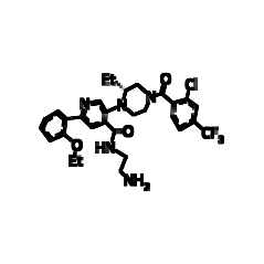 CCOc1ccccc1-c1cc(C(=O)NCCN)c(N2CCN(C(=O)c3ccc(C(F)(F)F)cc3Cl)C[C@H]2CC)cn1